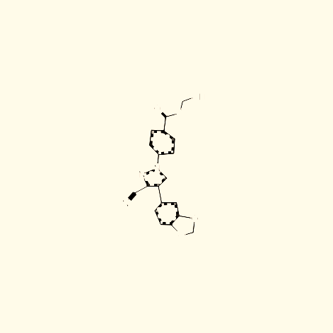 CCOC(=O)c1ccc(-n2cc(-c3ccc4c(c3)OCO4)c(C#N)n2)cc1